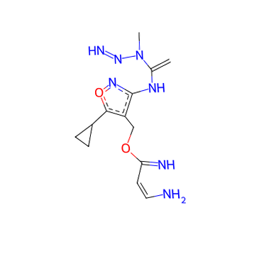 C=C(Nc1noc(C2CC2)c1COC(=N)/C=C\N)N(C)N=N